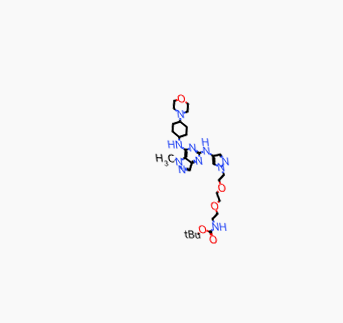 Cn1ncc2nc(Nc3cnn(CCOCCOCCNC(=O)OC(C)(C)C)c3)nc(NC3CCC(N4CCOCC4)CC3)c21